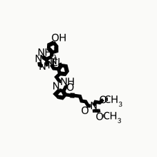 COCCN(CCOC)C(=O)CCCC#Cc1cccc2nc(Cc3cccc(Cl)c3Cn3nc(-c4ccc(O)cc4)c4c(N)ncnc43)[nH]c(=O)c12